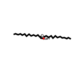 C=C.CCCCCCCCCCCCCOCCCCCCCCCCCCC.[NaH]